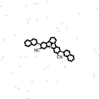 N#Cc1cc2c(cc1-c1ccc3ccccc3c1)c1cccc3c4cc(-c5ccc6ccccc6c5)c(C#N)cc4n2c13